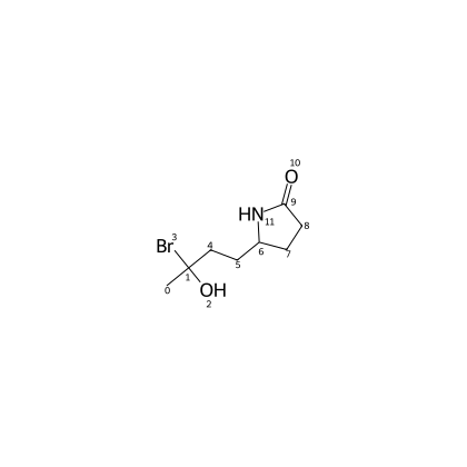 CC(O)(Br)CCC1CCC(=O)N1